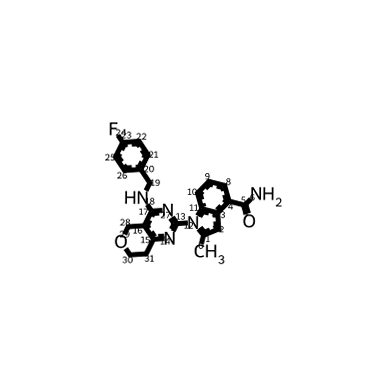 Cc1cc2c(C(N)=O)cccc2n1-c1nc2c(c(NCc3ccc(F)cc3)n1)COCC2